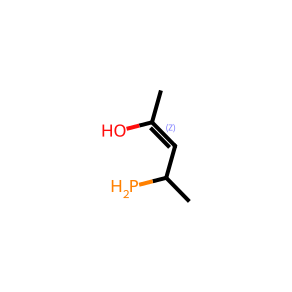 C/C(O)=C/C(C)P